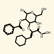 CCC1OC(CO)C(O)C(O/C(=C\C2CCCCC2)C(=O)NO)C1OC(=O)c1ccccc1